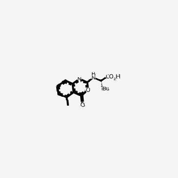 CCC(C)[C@H](Nc1nc2cccc(C)c2c(=O)o1)C(=O)O